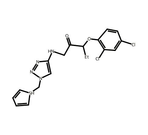 CCC(Oc1ccc(Cl)cc1Cl)C(=O)CNc1cn(C[SH]2C=CC=C2)nn1